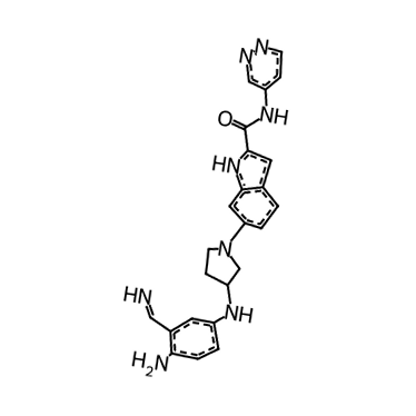 N=Cc1cc(NC2CCN(c3ccc4cc(C(=O)Nc5ccnnc5)[nH]c4c3)C2)ccc1N